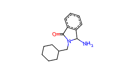 NC1c2ccccc2C(=O)N1CC1CCCCC1